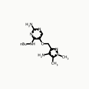 CCCCNc1nc(N)ncc1OCc1nn(C)c(C)c1N